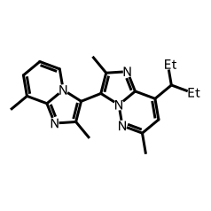 CCC(CC)c1cc(C)nn2c(-c3c(C)nc4c(C)cccn34)c(C)nc12